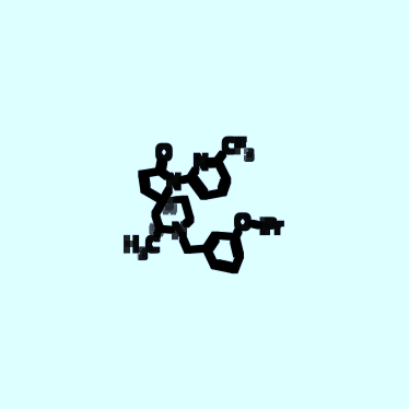 CC(C)Oc1cccc(CN2CC[C@]3(C=CC(=O)N3c3cccc(C(F)(F)F)n3)C[C@@H]2C)c1